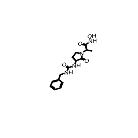 CC(C(=O)NO)N1CCC(NC(=O)NCc2ccccc2)C1=O